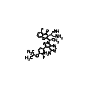 CC(C)Oc1ccc(-c2nn(C(C)c3oc4cccc(F)c4c(=O)c3C(C=N)CN)c3ncnc(N)c23)cc1F